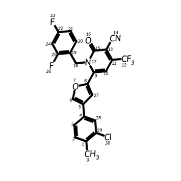 Cc1ccc(-c2coc(-c3cc(C(F)(F)F)c(C#N)c(=O)n3Cc3ccc(F)cc3F)c2)cc1Cl